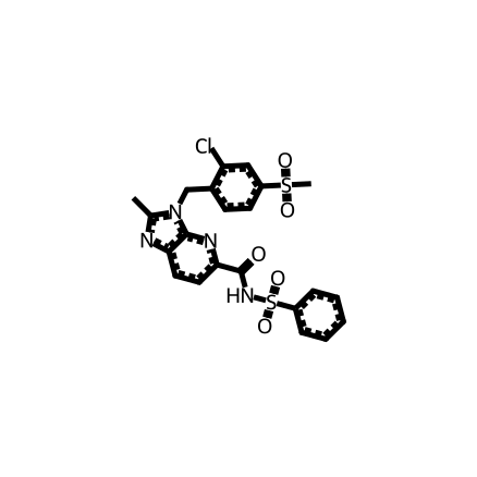 Cc1nc2ccc(C(=O)NS(=O)(=O)c3ccccc3)nc2n1Cc1ccc(S(C)(=O)=O)cc1Cl